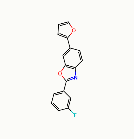 Fc1cccc(-c2nc3ccc(-c4ccco4)cc3o2)c1